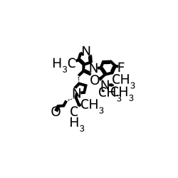 Cc1cncc2c1c(C[C@@H]1CCN([C@@H](CCC=O)C(C)C)C1)cn2-c1ccc(F)cc1C(=O)N(C)C(C)C